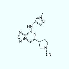 Cn1cc(Nc2nc(C3CCN(C#N)C3)cn3ncnc23)cn1